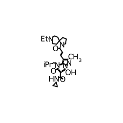 CCN1CCC2(CCCN2C(=O)/C=C/c2c(C)nn3c(O)c(C(=O)NC4CC4)c(=O)n(CC(C)C)c23)CC1